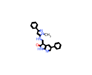 Cn1nc(-c2ccccc2)cc1NC=C1C(=O)Nc2ncc(-c3ccccc3)cc21